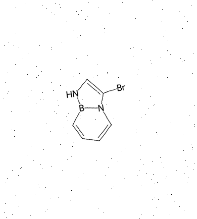 BrC1=CNB2C=CC=CN21